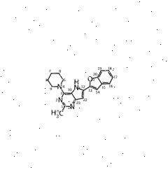 Cc1nc(N2CCCCC2)c2[nH]c(-c3cc4ccccc4o3)cc2n1